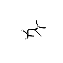 CN(C)C(F)CC(F)(F)F